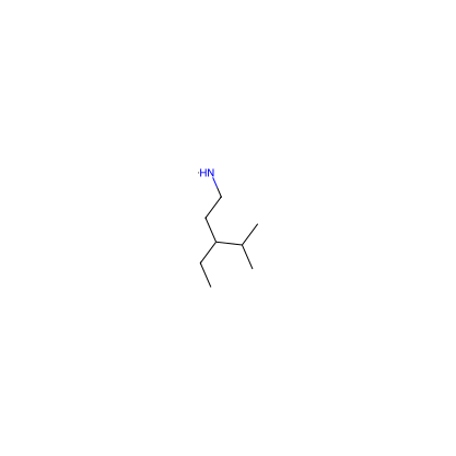 CCC(CC[NH])C(C)C